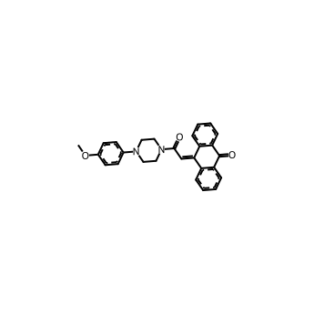 COc1ccc(N2CCN(C(=O)C=C3c4ccccc4C(=O)c4ccccc43)CC2)cc1